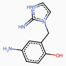 N=c1[nH]ccn1Cc1cc(N)ccc1O